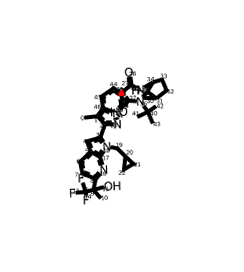 Cc1c(-c2cc3ccc(C(C)(O)C(F)(F)F)nc3n2CC2CC2)nn2cc(C(=O)N3CC4CCC3[C@@H]4N(C(=O)O)C(C)(C)C)ccc12